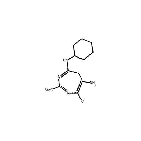 CSC1=NC(Cl)=C(N)CC(NC2CCCCC2)=N1